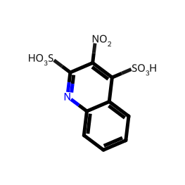 O=[N+]([O-])c1c(S(=O)(=O)O)nc2ccccc2c1S(=O)(=O)O